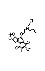 COC1=C(C)C(=O)c2c(cc(OCCN(CCCl)CCCl)c3c2CC2OC(C)(C)OC32)C1=O